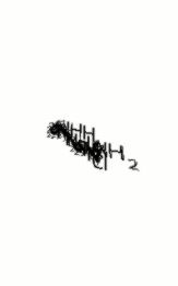 CCc1c(N)cc(Cl)nc1NCc1ccc(CNCCCNC2CCCCC2)cc1